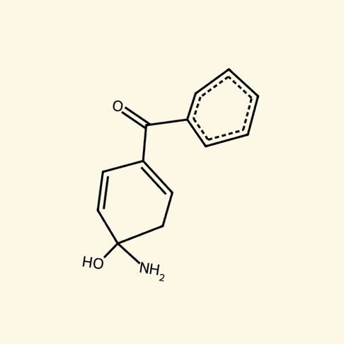 NC1(O)C=CC(C(=O)c2ccccc2)=CC1